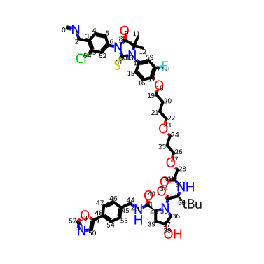 C=NCc1ccc(N2C(=O)C(C)(C)N(c3ccc(OCCCCOCCCOCC(=O)N[C@H](C(=O)N4C[C@H](O)C[C@H]4C(=O)NCc4ccc(-c5cnco5)cc4)C(C)(C)C)c(F)c3)C2=S)cc1Cl